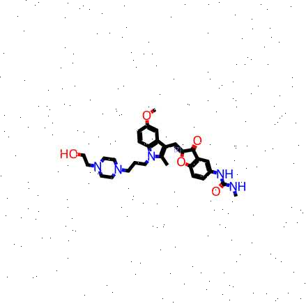 CNC(=O)Nc1ccc2c(c1)C(=O)/C(=C/c1c(C)n(CCCN3CCN(CCO)CC3)c3ccc(OC)cc13)O2